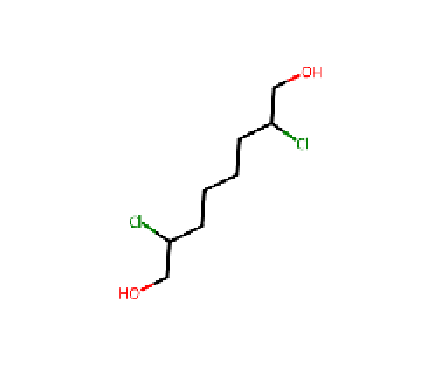 OCC(Cl)CCCCC(Cl)CO